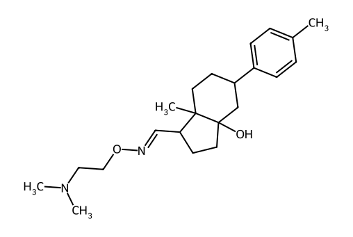 Cc1ccc(C2CCC3(C)C(C=NOCCN(C)C)CCC3(O)C2)cc1